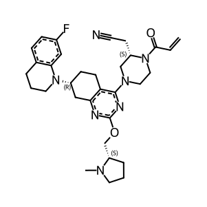 C=CC(=O)N1CCN(c2nc(OC[C@@H]3CCCN3C)nc3c2CC[C@@H](N2CCCc4ccc(F)cc42)C3)C[C@@H]1CC#N